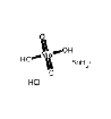 Cl.[O]=[Mo](=[O])([OH])[OH].[SnH2]